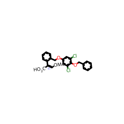 CO/C=C(/C(=O)O)c1ccccc1COc1cc(Cl)c(OCc2ccccc2)c(Cl)c1